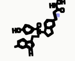 Cc1ccc2c(CCN(C(=O)c3ccc(O)cc3)C3CCc4cc(/C=C/C(=O)NO)ccc43)c[nH]c2c1